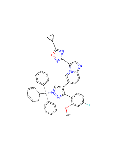 CCCOc1cc(F)ccc1-c1nn(C(c2ccccc2)(c2ccccc2)C2C=CC=CC2)cc1-c1ccc2ncc(-c3noc(C4CC4)n3)n2c1